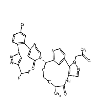 C[C@@H]1CCC[C@H](n2cnc(-c3cc(Cl)ccc3-n3cc(C(F)F)nn3)cc2=O)c2cc(ccn2)-c2c(cnn2CC(=O)O)NC1=O